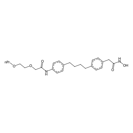 CCCOCCOCC(=O)Nc1ccc(CCCCc2ccc(CC(=O)NO)cc2)cc1